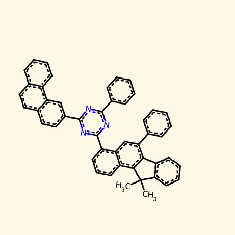 CC1(C)c2ccccc2-c2c(-c3ccccc3)cc3c(-c4nc(-c5ccccc5)nc(-c5ccc6ccc7ccccc7c6c5)n4)cccc3c21